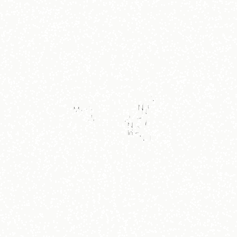 COC(=O)CCCCCCC(=O)Nc1cc(-n2nc(C)c3c2CC(C)(C)CC3=O)ccc1C(N)=O